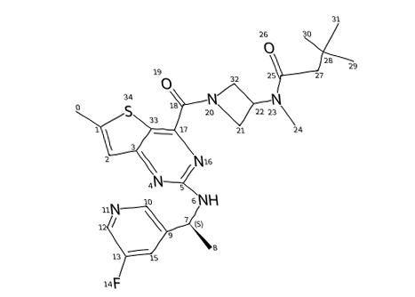 Cc1cc2nc(N[C@@H](C)c3cncc(F)c3)nc(C(=O)N3CC(N(C)C(=O)CC(C)(C)C)C3)c2s1